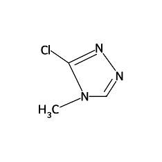 Cn1cnnc1Cl